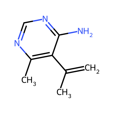 C=C(C)c1c(C)ncnc1N